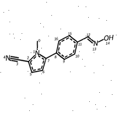 Cn1c(C#N)ccc1-c1ccc(C=NO)cc1